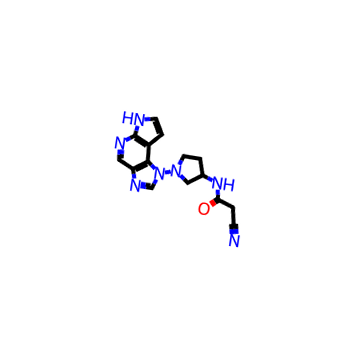 N#CCC(=O)NC1CCN(n2cnc3cnc4[nH]ccc4c32)C1